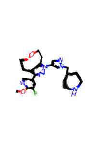 COc1ncc(-c2nn(-c3cnn(CC4CCNCC4)c3)c3c2CCOCC3)cc1F